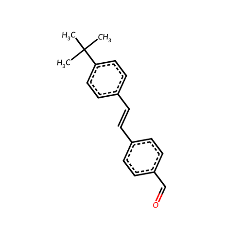 CC(C)(C)c1ccc(/C=C/c2ccc(C=O)cc2)cc1